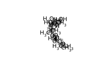 CC[C@H]1[C@@H](O)[C@@H]2[C@H](CC[C@]3(C)[C@@H]([C@H](C)COC(=O)NS(=O)(=O)c4ccc(OC(C)(C)C)cc4)CC[C@@H]23)[C@@]2(C)CC[C@H](O)C[C@@H]12